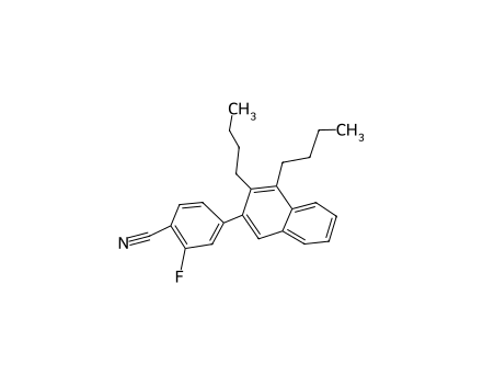 CCCCc1c(-c2ccc(C#N)c(F)c2)cc2ccccc2c1CCCC